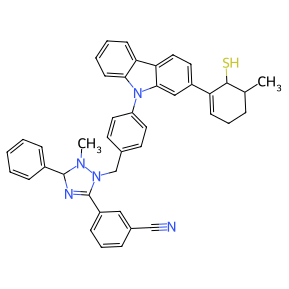 CC1CCC=C(c2ccc3c4ccccc4n(-c4ccc(CN5C(c6cccc(C#N)c6)=NC(c6ccccc6)N5C)cc4)c3c2)C1S